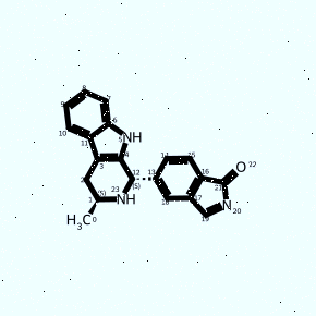 C[C@H]1Cc2c([nH]c3ccccc23)[C@H](c2ccc3c(c2)C=NC3=O)N1